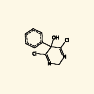 OC1(c2ccccc2)C(Cl)=NCN=C1Cl